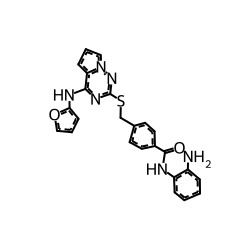 Nc1ccccc1NC(=O)c1ccc(CSc2nc(Nc3ccco3)c3cccn3n2)cc1